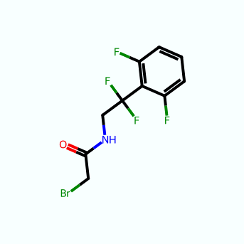 O=C(CBr)NCC(F)(F)c1c(F)cccc1F